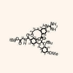 COc1ccc(C[C@H](C(=O)OC(C)(C)C)c2ccc(C(=O)NCC(=O)OC(C)(C)C)c3c2OC(=O)c2ccc(NC(=N)N)cc2CCCO3)cc1